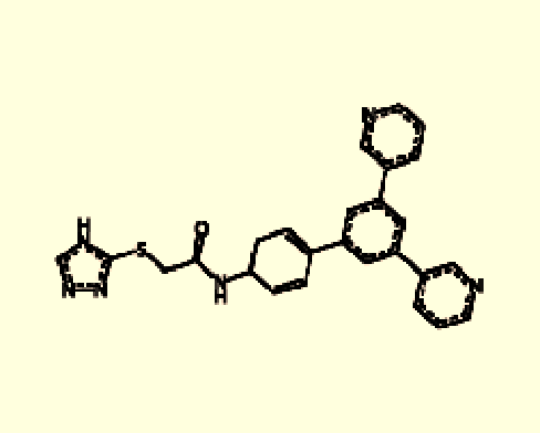 O=C(CSc1nnc[nH]1)NC1C=CC(c2cc(-c3cccnc3)cc(-c3cccnc3)c2)=CC1